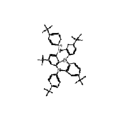 CC(C)(C)C1=CC[C@H](N2C3=C(C=CC(C(C)(C)C)C3)B3c4ccc(C(C)(C)C)cc4N(c4ccc(C(C)(C)C)cc4)c4cc(C(C)(C)C)cc2c43)C=C1